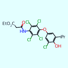 CCOC(=O)CC(=O)Nc1c(Cl)c(Cl)c(Oc2cc(Cl)c(O)c(C(C)C)c2)c(Cl)c1Cl